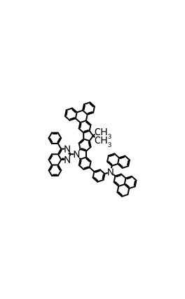 CC1(C)c2cc3c4ccccc4c4ccccc4c3cc2-c2cc3c(cc21)c1cc(-c2cccc(N(c4cc5c6c(cccc6c4)CC=C5)c4cccc5ccccc45)c2)ccc1n3-c1nc(-c2ccccc2)c2ccc3ccccc3c2n1